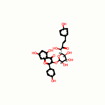 O=C(C=Cc1ccc(O)cc1)C(O)[C@H]1OC(Oc2c(-c3ccc(O)cc3)oc3cc(O)cc(O)c3c2=O)[C@H](O)[C@@H](O)[C@@H]1O